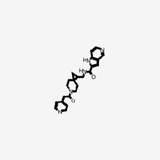 O=C(NCC1CC12CCN(C(=O)Cc1ccncc1)CC2)c1cc2cnccc2[nH]1